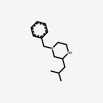 CC(C)CC1CN(Cc2ccccc2)CCN1